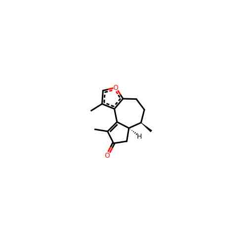 CC1=C2c3c(C)coc3CC[C@@H](C)[C@H]2CC1=O